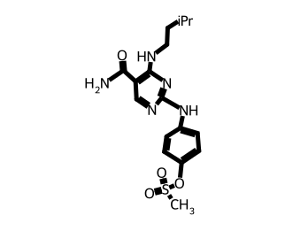 CC(C)CCNc1nc(Nc2ccc(OS(C)(=O)=O)cc2)ncc1C(N)=O